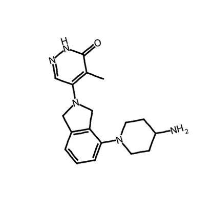 Cc1c(N2Cc3cccc(N4CCC(N)CC4)c3C2)cn[nH]c1=O